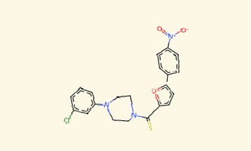 O=[N+]([O-])c1ccc(-c2ccc(C(=S)N3CCN(c4cccc(Cl)c4)CC3)o2)cc1